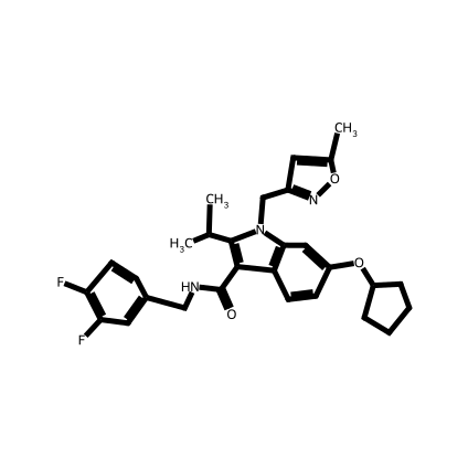 Cc1cc(Cn2c(C(C)C)c(C(=O)NCc3ccc(F)c(F)c3)c3ccc(OC4CCCC4)cc32)no1